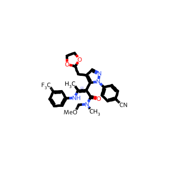 COCN(C)C(=O)/C(=C(/C)Nc1cccc(C(F)(F)F)c1)c1c(CC2OCCO2)cnn1-c1ccc(C#N)cc1